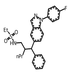 CCCC(CNS(=O)(=O)CC)C(c1ccccc1)c1ccc2c(cnn2-c2ccc(F)cc2)c1